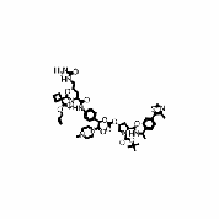 C=CCOC(=O)C1(C(=O)NC(CCCNC(N)=O)C(=O)Nc2ccc(C(OC(=O)O[C@@H]3C[C@@H](C(=O)NC(C)c4ccc(-c5scnc5C)cc4)N(C(=O)OC(C)(C)C)C3)C(=O)N3CCN(C)CC3)cc2)CCC1